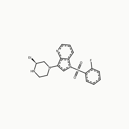 CC[C@H]1CN(c2cn(S(=O)(=O)c3ccccc3F)c3cccnc23)CCN1